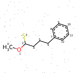 COC([S])CCCc1ccccc1